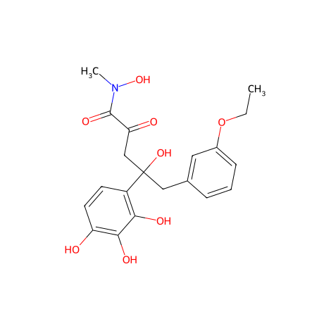 CCOc1cccc(CC(O)(CC(=O)C(=O)N(C)O)c2ccc(O)c(O)c2O)c1